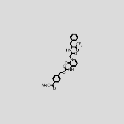 COC(=O)c1ccc(COC(=O)Nc2cccn(CC(=O)NC(Cc3ccccc3)C(=O)C(F)(F)F)c2=O)cc1